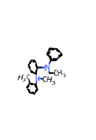 CCN(c1ccccc1)c1ccccc1N(C)c1ccccc1C